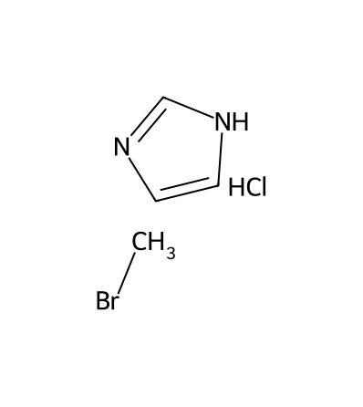 CBr.Cl.c1c[nH]cn1